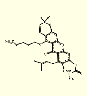 CCOC(=O)CCCCOc1c2c(cc3oc4cc(OC(=O)OC(C)(C)C)c(OC)c(CC=C(C)C)c4c(=O)c13)OC(C)(C)C=C2